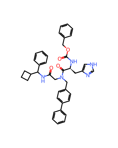 O=C(CN(Cc1ccc(-c2ccccc2)cc1)C(=O)[C@H](Cc1c[nH]cn1)NC(=O)OCc1ccccc1)NC(c1ccccc1)C1CCC1